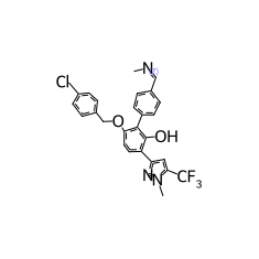 C/N=C\c1ccc(-c2c(OCc3ccc(Cl)cc3)ccc(-c3cc(C(F)(F)F)n(C)n3)c2O)cc1